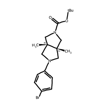 CC(C)(C)OC(=O)N1C[C@@]2(C)CN(c3ccc(Br)cc3)C[C@@]2(C)C1